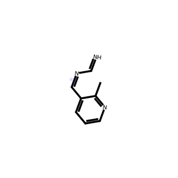 Cc1ncccc1/C=N\C=N